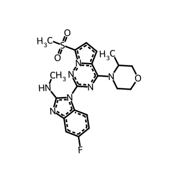 CNc1nc2cc(F)ccc2n1-c1nc(N2CCOCC2C)c2ccc(S(C)(=O)=O)n2n1